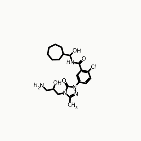 Cc1nn(-c2ccc(Cl)c(C(=O)NC(O)C3CCCCCC3)c2)c(=O)n1CC(O)CN